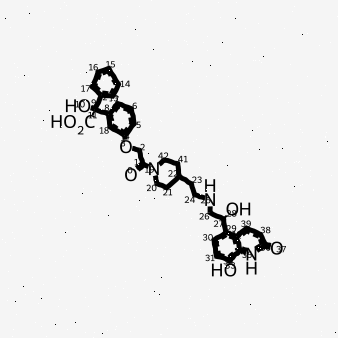 O=C(COc1cccc([C@](O)(C(=O)O)c2ccccc2)c1)N1CCC(CCNC[C@H](O)c2ccc(O)c3[nH]c(=O)ccc23)CC1